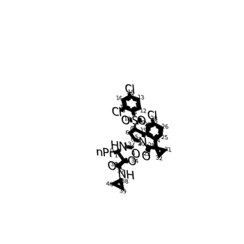 CCCC(NC(=O)[C@@H]1C[C@@H](S(=O)(=O)c2ccc(Cl)cc2Cl)CN1C(=O)C1(c2ccc(Cl)cc2)CC1)C(=O)C(=O)NC1CC1